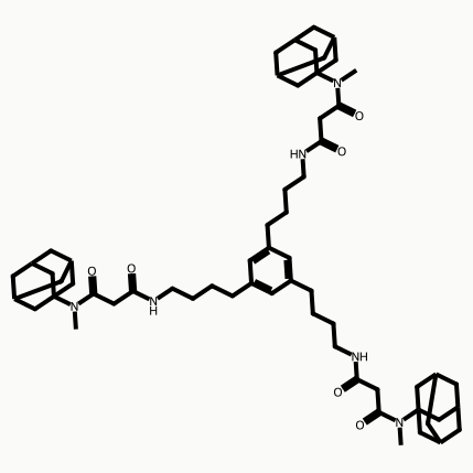 CN(C(=O)CC(=O)NCCCCc1cc(CCCCNC(=O)CC(=O)N(C)C23CC4CC(CC(C4)C2)C3)cc(CCCCNC(=O)CC(=O)N(C)C23CC4CC(CC(C4)C2)C3)c1)C12CC3CC(CC(C3)C1)C2